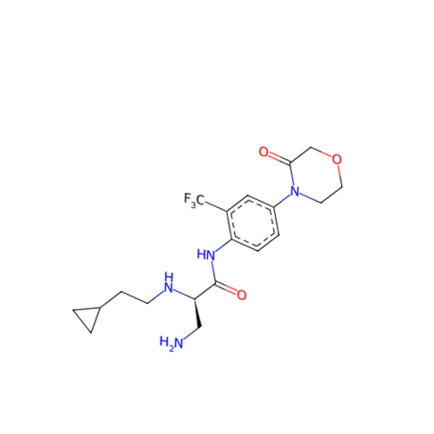 NC[C@@H](NCCC1CC1)C(=O)Nc1ccc(N2CCOCC2=O)cc1C(F)(F)F